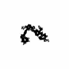 Cc1ccc(C(=O)Nc2ccc(CN3CCN(C)CC3)c(C(F)F)c2)cc1C#Cc1nnc2cc(F)ccn12